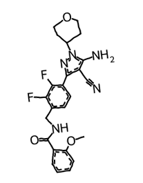 COc1ccccc1C(=O)NCc1ccc(-c2nn(C3CCOCC3)c(N)c2C#N)c(F)c1F